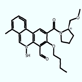 CCCCOc1c(C(=O)N2CCC[C@@H]2COC)cc2c(c1C=O)N(S)C=C1C2=C=CC=C1C